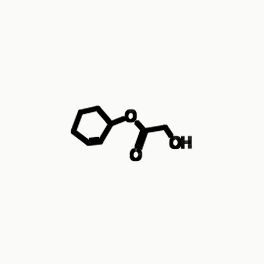 O=C(CO)OC1C=CCCC1